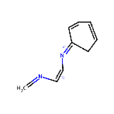 C=N/C=C\N=C1\C=CC=CC1